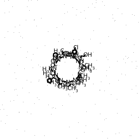 CC(C)C[C@@H]1NC(=O)[C@H](CCc2ccccc2)N(C)C(=O)[C@@H](C(C)C)NC(=O)C[C@@H](C(=O)N2CCCCC2)NC(O)[C@H](CC(C)C)N(C)C(=O)[C@H](Cc2cccc(Cl)c2)N(C)C(=O)[C@H](COCCO)NC(=O)[C@H](CC(C)C)N(C)C(=O)CN(C)C(=O)[C@H]([C@@H](C)O)NC(O)[C@H](CC(C)C)N(C)C1=O